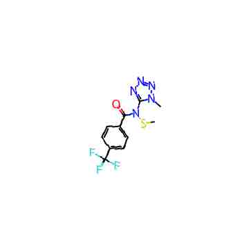 CSN(C(=O)c1ccc(C(F)(F)F)cc1)c1nnnn1C